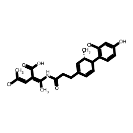 C/C(NC(=O)CCC1=C[C@H](C)C(c2ccc(O)cc2Cl)C=C1)=C(\C=C(/C)Cl)C(=O)O